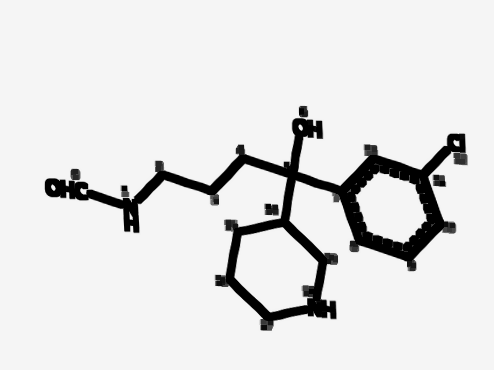 O=CNCCCC(O)(c1cccc(Cl)c1)C1CCCNC1